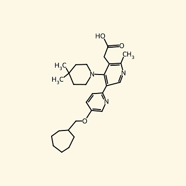 Cc1ncc(-c2ccc(OCC3CCCCCC3)cn2)c(N2CCC(C)(C)CC2)c1CC(=O)O